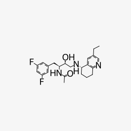 CCc1cnc2c(c1)[C@@H](NC[C@H](O)[C@H](Cc1cc(F)cc(F)c1)NC(C)=O)CCC2